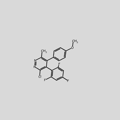 COc1ccc(-c2c(C)nnc(Cl)c2-c2c(F)cc(F)cc2F)cc1